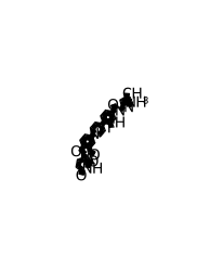 Cc1cc(NC(=O)c2ccc(C3CCN(c4ccc5c(c4)C(=O)N(C4CCC(=O)NC4=O)C5=O)CC3)c(F)c2)n[nH]1